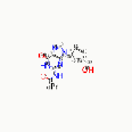 CC(C)C(=O)Nc1nc2c(ncn2[C@@H]2C=C[C@H](CO)C2)c(=O)[nH]1